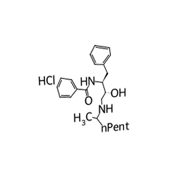 CCCCCC(C)NC[C@@H](O)[C@H](Cc1ccccc1)NC(=O)c1ccccc1.Cl